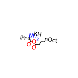 CCCCCCCCCCCC(=O)OC(=O)[C@@H](N)C(C)C.[KH]